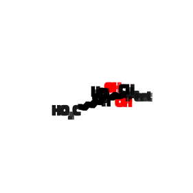 CCCC(C)C(C)[C@@H](O)/C=C/[C@@H]1[C@H]2C/C(=C/CCCC(=O)O)C[C@@H]2C[C@H]1O